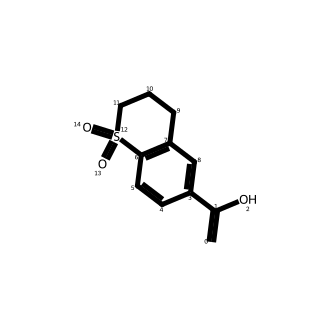 C=C(O)c1ccc2c(c1)CCCS2(=O)=O